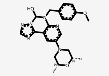 COc1ccc(CN2c3ncc(N4C[C@@H](C)O[C@@H](C)C4)cc3-c3ncnn3C2O)cc1